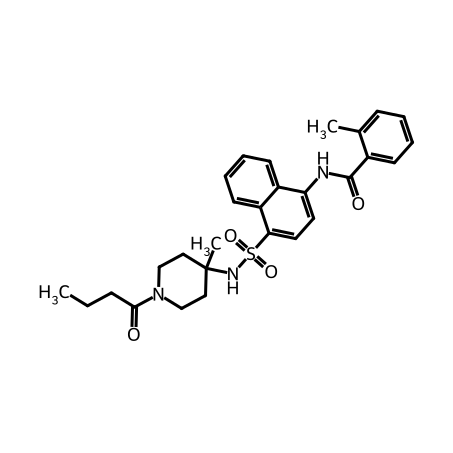 CCCC(=O)N1CCC(C)(NS(=O)(=O)c2ccc(NC(=O)c3ccccc3C)c3ccccc23)CC1